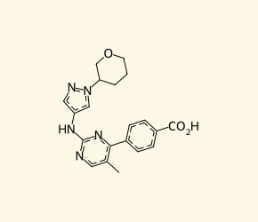 Cc1cnc(Nc2cnn(C3CCCOC3)c2)nc1-c1ccc(C(=O)O)cc1